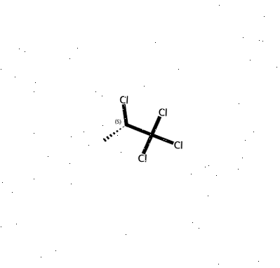 C[C@H](Cl)C(Cl)(Cl)Cl